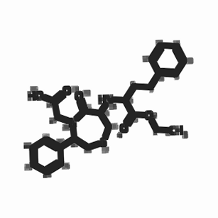 CCOC(=O)C(CCc1ccccc1)NC1CSCC(c2ccccc2)N(CC(=O)O)C1=O